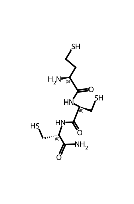 NC(=O)[C@H](CS)NC(=O)[C@H](CS)NC(=O)[C@@H](N)CCS